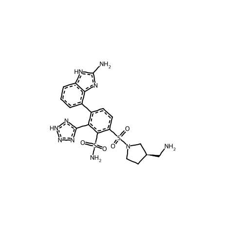 NC[C@H]1CCN(S(=O)(=O)c2ccc(-c3cccc4[nH]c(N)nc34)c(-c3nn[nH]n3)c2S(N)(=O)=O)C1